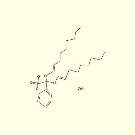 CCCCCCCC=COC(OC=CCCCCCCC)(c1ccccc1)P(=O)([O-])[O-].[Zn+2]